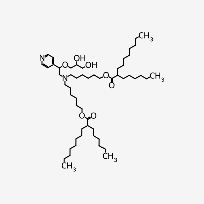 CCCCCCCCC(CCCCCC)C(=O)OCCCCCCN(CCCCCCOC(=O)C(CCCCCC)CCCCCCCC)CC(OCC(O)CO)c1ccncc1